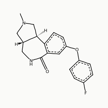 CN1C[C@H]2CNC(=O)c3cc(Oc4ccc(F)cc4)ccc3[C@@H]2C1